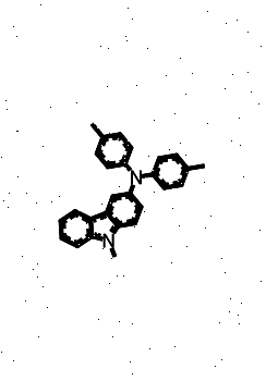 Cc1ccc(N(c2ccc(C)cc2)c2ccc3c(c2)c2ccccc2n3C)cc1